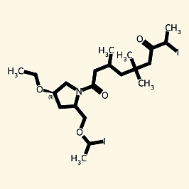 CCO[C@@H]1CC(COC(C)I)N(C(=O)CC(C)CC(C)(C)CC(=O)C(C)I)C1